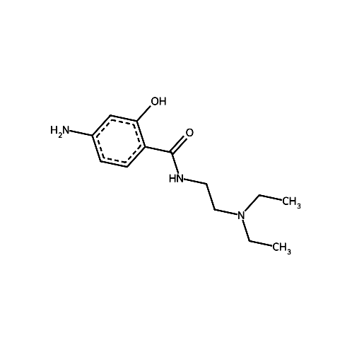 CCN(CC)CCNC(=O)c1ccc(N)cc1O